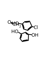 C=O.Oc1ccc(Cl)cc1.Oc1cccc(O)c1